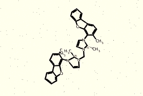 Cc1ccc2c(oc3ccccc32)c1N1C=CN(CN2C=CN(c3c(C)ccc4c3oc3ccccc34)[C@H]2C)[C@H]1C